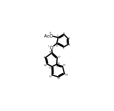 CC(=O)Oc1ccccc1Oc1ccc2ccccc2c1